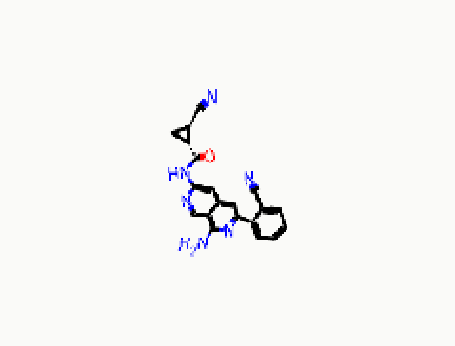 N#Cc1ccccc1-c1cc2cc(NC(=O)[C@@H]3C[C@H]3C#N)ncc2c(N)n1